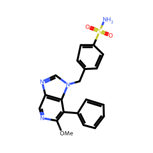 COc1ncc2ncn(Cc3ccc(S(N)(=O)=O)cc3)c2c1-c1ccccc1